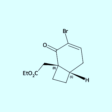 CCOC(=O)C[C@]12CC[C@H]1CC=C(Br)C2=O